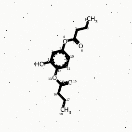 [CH]c1cc(OC(=O)CCC)ccc1OC(=O)CCC